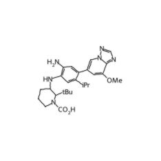 COc1cc(-c2cc(N)c(NC3CCCN(C(=O)O)C3C(C)(C)C)cc2C(C)C)cn2ncnc12